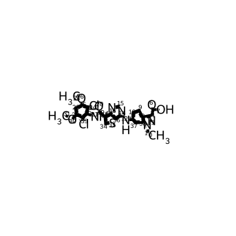 CCn1nc(C(=O)O)c2ccc(Nc3ncnc4c(C(=O)Nc5c(Cl)c(OC)cc(OC)c5Cl)csc34)cc21